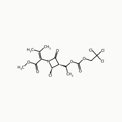 COC(=O)C(=C(C)C)N1C(=O)[C@@H](C(C)OC(=O)OCC(Cl)(Cl)Cl)[C@H]1Cl